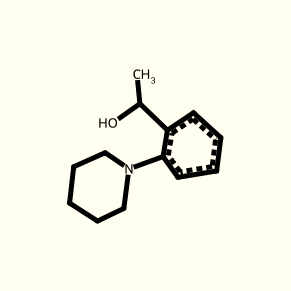 CC(O)c1ccccc1N1CCCCC1